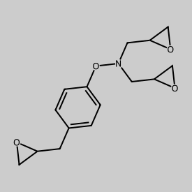 c1cc(ON(CC2CO2)CC2CO2)ccc1CC1CO1